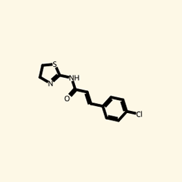 O=C(/C=C/c1ccc(Cl)cc1)NC1=NCCS1